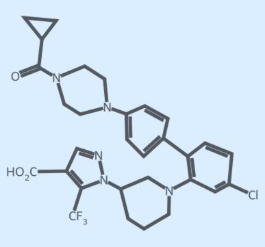 O=C(O)c1cnn(C2CCCN(c3cc(Cl)ccc3-c3ccc(N4CCN(C(=O)C5CC5)CC4)cc3)C2)c1C(F)(F)F